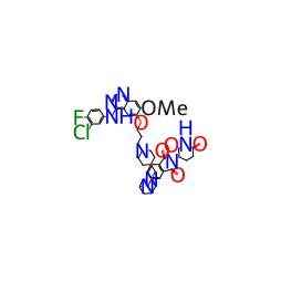 COc1cc2ncnc(Nc3ccc(F)c(Cl)c3)c2cc1OCCCN1CCC(CN2CC3CC(C2)N3c2ccc3c(c2)C(=O)N(C2CCC(=O)NC2=O)C3=O)CC1